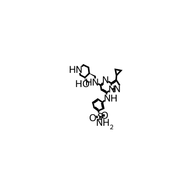 NS(=O)(=O)c1cccc(Nc2cc(NC[C@@H]3CCNC[C@H]3O)nc3c(C4CC4)cnn23)c1